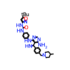 CC1CCN(Cc2ccc(C(=N)c3c(N)ncnc3Nc3ccc(NC(=O)Nc4cc(C(C)(C)C)on4)cc3)cc2)CC1